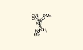 COc1ccc(Cn2nc(Oc3ccnc(Cl)c3Cl)c3ncc(N4CCC(C)(CNC(=O)OC(C)(C)C)CC4)nc32)cc1